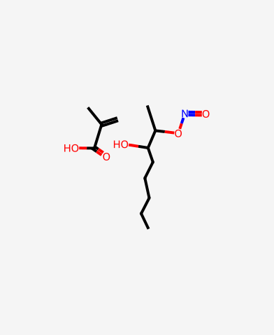 C=C(C)C(=O)O.CCCCCC(O)C(C)ON=O